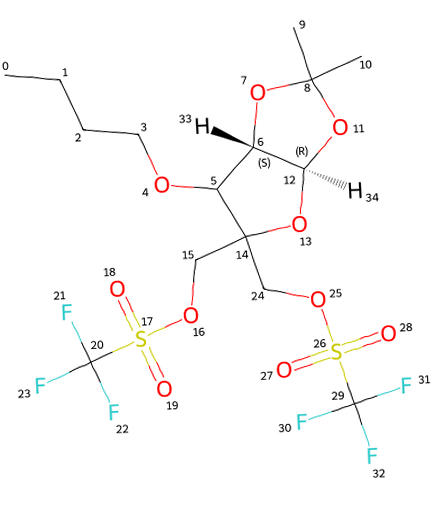 CCCCOC1[C@@H]2OC(C)(C)O[C@H]2OC1(COS(=O)(=O)C(F)(F)F)COS(=O)(=O)C(F)(F)F